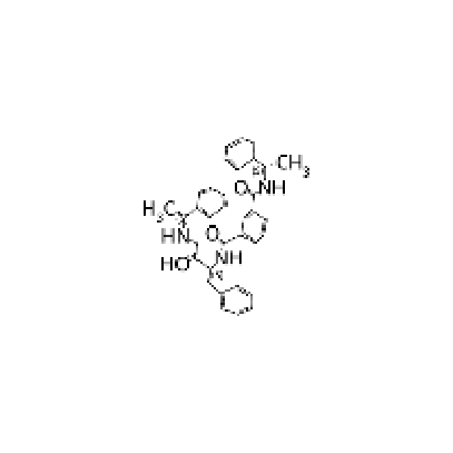 C[C@H](NC[C@@H](O)[C@H](Cc1ccccc1)NC(=O)c1cccc(C(=O)N[C@@H](C)c2ccccc2)c1)c1ccccc1